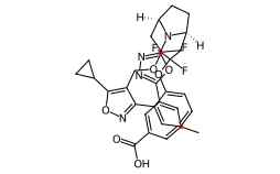 Cc1cc(C(=O)O)cc(-c2nnc(N3[C@@H]4CC[C@H]3CC(OCc3c(-c5ccccc5OC(F)(F)F)noc3C3CC3)C4)o2)c1